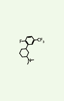 CN(C)C1CCCC(c2cc(C(F)(F)F)ccc2F)C1